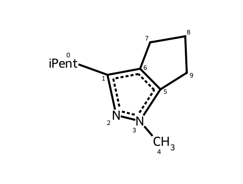 CCCC(C)c1nn(C)c2c1CCC2